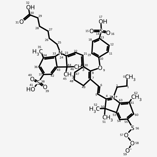 CCC[N+]1=C(/C=C/C2=C(Oc3ccc(S(=O)(=O)O)cc3)C(=C/C=C3/N(CCCCCC(=O)O)c4c(C)cc(S(=O)(=O)O)cc4C3(C)C)/CCC2)C(C)(C)c2cc(SOO[O-])cc(C)c21